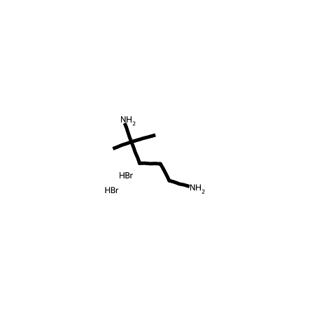 Br.Br.CC(C)(N)CCCN